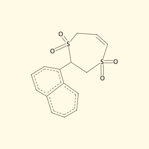 O=S1(=O)C=CCS(=O)(=O)C(c2cccc3ccccc23)C1